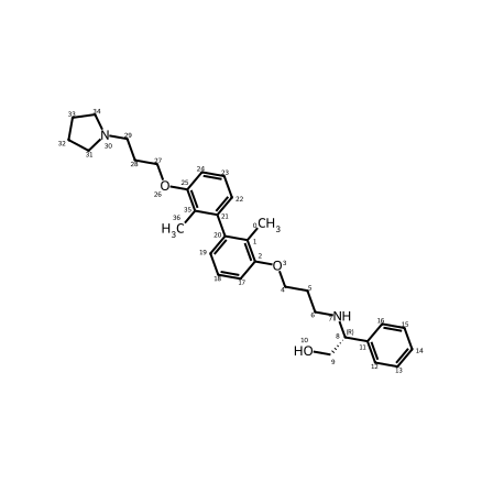 Cc1c(OCCCN[C@@H](CO)c2ccccc2)cccc1-c1cccc(OCCCN2CCCC2)c1C